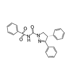 O=C(NS(=O)(=O)c1ccccc1)N1C[C@H](c2ccccc2)C(c2ccccc2)=N1